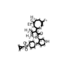 CC[C@]1(C)CCC(F)=C=NC(C(C(=O)NC2CNCCC2N2CCN(S(=O)(=O)C3CC3)CC2)C(N)N)C1